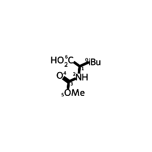 CCC(C)C(NC(=O)OC)C(=O)O